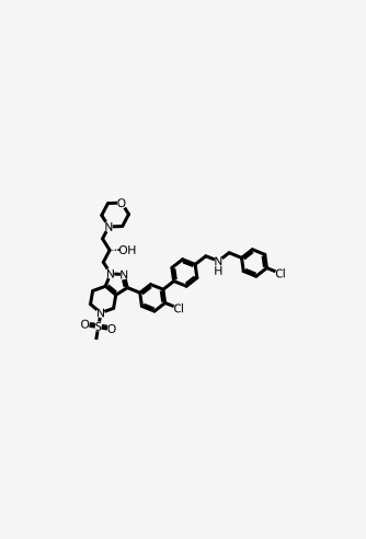 CS(=O)(=O)N1CCc2c(c(-c3ccc(Cl)c(-c4ccc(CNCc5ccc(Cl)cc5)cc4)c3)nn2C[C@@H](O)CN2CCOCC2)C1